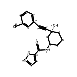 O=C(N[C@@H]1CCC[C@](O)(C#Cc2cccc(Cl)c2)C1)c1ccno1